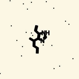 C=C/C=C(/C)c1nc[nH]c1C=C